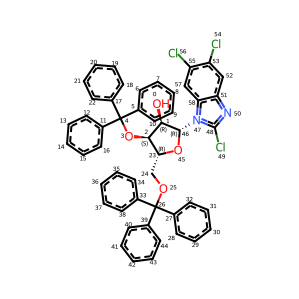 O[C@@H]1[C@H](OC(c2ccccc2)(c2ccccc2)c2ccccc2)[C@@H](COC(c2ccccc2)(c2ccccc2)c2ccccc2)O[C@H]1n1c(Cl)nc2cc(Cl)c(Cl)cc21